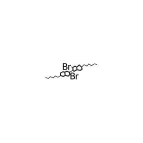 CCCCCCc1ccc2cc(-c3cc4ccc(CCCCCC)cc4cc3Br)c(Br)cc2c1